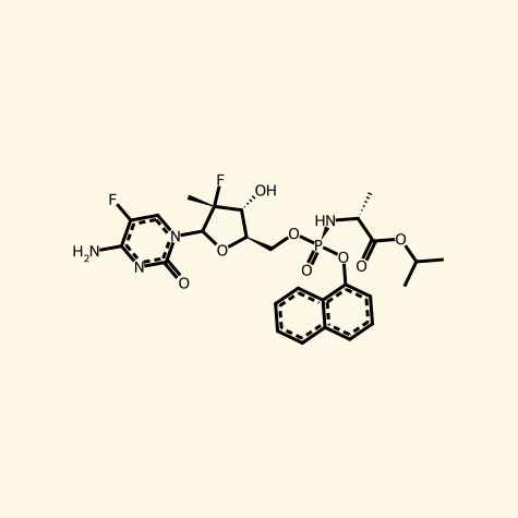 CC(C)OC(=O)[C@@H](C)N[P@@](=O)(OC[C@H]1OC(n2cc(F)c(N)nc2=O)[C@](C)(F)[C@@H]1O)Oc1cccc2ccccc12